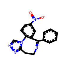 O=[N+]([O-])c1ccc2c(c1)/C(c1ccccc1)=N\CCc1nncn1-2